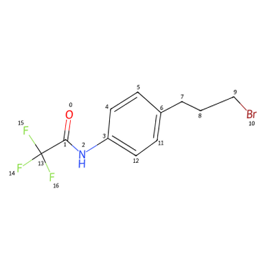 O=C(Nc1ccc(CCCBr)cc1)C(F)(F)F